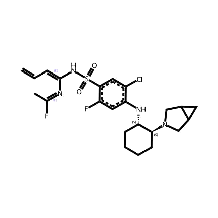 C=C/C=C(\N=C(/C)F)NS(=O)(=O)c1cc(Cl)c(N[C@H]2CCCC[C@@H]2N2CC3CC3C2)cc1F